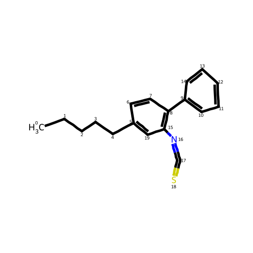 CCCCCc1ccc(-c2ccccc2)c(N=C=S)c1